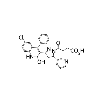 O=C(O)CCC(=O)N1N=C(C2=C(c3ccccc3)c3cc(Cl)ccc3NC2O)CC1c1cccnc1